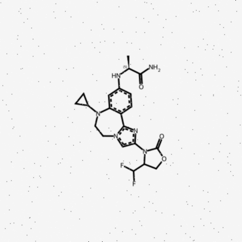 C[C@H](Nc1ccc2c(c1)N(C1CC1)CCn1cc(N3C(=O)OCC3C(F)F)nc1-2)C(N)=O